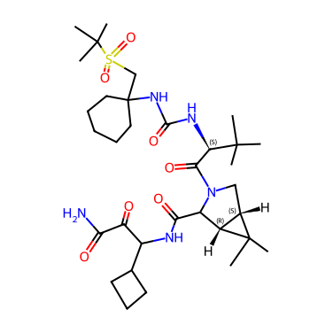 CC(C)(C)[C@H](NC(=O)NC1(CS(=O)(=O)C(C)(C)C)CCCCC1)C(=O)N1C[C@H]2[C@@H](C1C(=O)NC(C(=O)C(N)=O)C1CCC1)C2(C)C